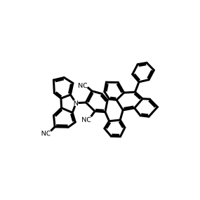 N#Cc1ccc2c(c1)c1ccccc1n2-c1c(C#N)ccc(-c2ccccc2-c2c3ccccc3c(-c3ccccc3)c3ccccc23)c1C#N